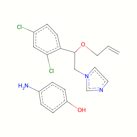 C=CCOC(Cn1ccnc1)c1ccc(Cl)cc1Cl.Nc1ccc(O)cc1